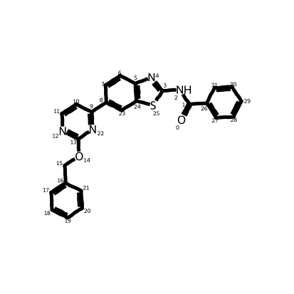 O=C(Nc1nc2ccc(-c3ccnc(OCc4ccccc4)n3)cc2s1)c1ccccc1